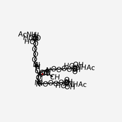 C#CCCCCC(=O)NC(COCc1cn(CCOCCOCCOCCOC[C@@]23CO[C@@H](O2)[C@H](NC(C)=O)[C@@H](O)[C@H]3O)nn1)(COCc1cn(CCOCCOCCOCCOC[C@@]23CO[C@@H](O2)[C@H](NC(C)=O)[C@@H](O)[C@H]3O)nn1)COCc1cn(CCOCCOCCOCCOC[C@@]23CO[C@@H](O2)[C@H](NC(C)=O)[C@@H](O)[C@H]3O)nn1